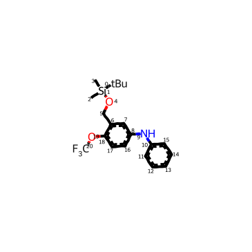 CC(C)(C)[Si](C)(C)OCc1cc(Nc2ccccc2)ccc1OC(F)(F)F